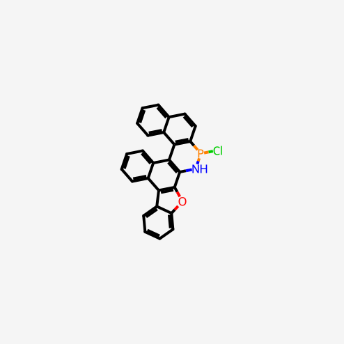 ClP1Nc2c(c3ccccc3c3c2oc2ccccc23)-c2c1ccc1ccccc21